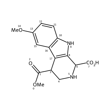 COC(=O)C1CNC(C(=O)O)c2[nH]c3ccc(OC)cc3c21